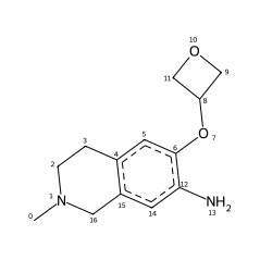 CN1CCc2cc(OC3COC3)c(N)cc2C1